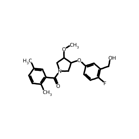 COC1CN(C(=O)c2cc(C)ccc2C)CC1Oc1ccc(F)c(CO)c1